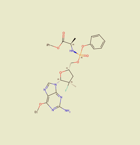 CCOc1nc(N)nc2c1ncn2[C@@H]1O[C@H](CO[P@](=O)(N[C@H](C)C(=O)OC(C)C)Oc2ccccc2)C[C@@]1(C)F